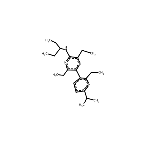 CCc1nc(C(C)C)ccc1-c1nc(CC)c(NC(CC)CC)nc1CC